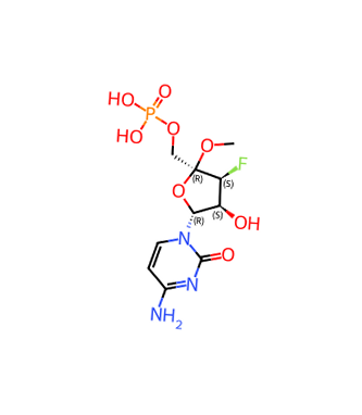 CO[C@]1(COP(=O)(O)O)O[C@@H](n2ccc(N)nc2=O)[C@H](O)[C@@H]1F